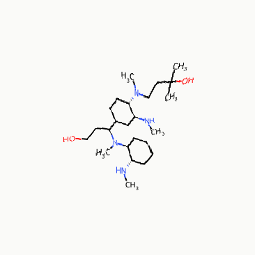 CN[C@H]1CC(C(CCO)N(C)[C@H]2CCCC[C@@H]2NC)CC[C@@H]1N(C)CCC(C)(C)O